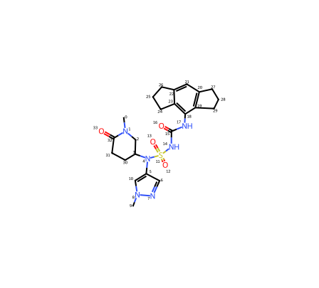 CN1CC(N(c2cnn(C)c2)S(=O)(=O)NC(=O)Nc2c3c(cc4c2CCC4)CCC3)CCC1=O